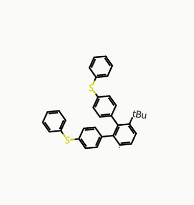 CC(C)(C)c1cc[c]c(-c2ccc(Sc3ccccc3)cc2)c1-c1ccc(Sc2ccccc2)cc1